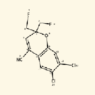 N#CC1=CC(CF)(CF)Oc2cc(Cl)c(Cl)cc21